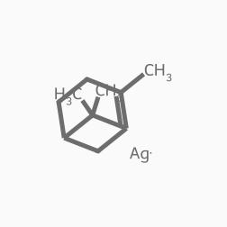 CC1=C2CC(CC1)C2(C)C.[Ag]